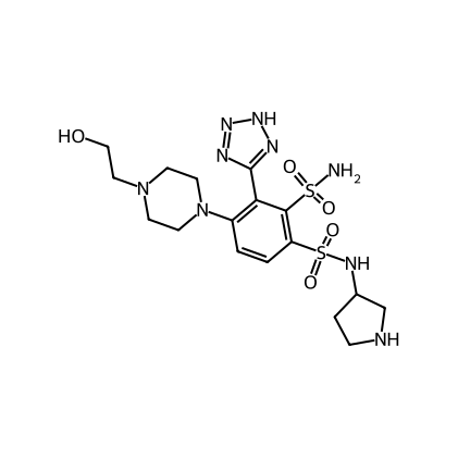 NS(=O)(=O)c1c(S(=O)(=O)NC2CCNC2)ccc(N2CCN(CCO)CC2)c1-c1nn[nH]n1